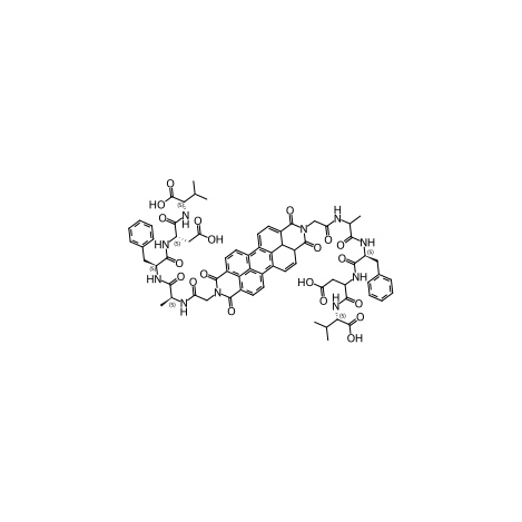 CC(NC(=O)CN1C(=O)C2=CC=c3c4c(c5ccc6c7c(ccc3c57)C(=O)N(CC(=O)N[C@@H](C)C(=O)N[C@@H](Cc3ccccc3)C(=O)N[C@@H](CC(=O)O)C(=O)N[C@H](C(=O)O)C(C)C)C6=O)C=CC(C1=O)C24)C(=O)N[C@@H](Cc1ccccc1)C(=O)NC(CC(=O)O)C(=O)N[C@H](C(=O)O)C(C)C